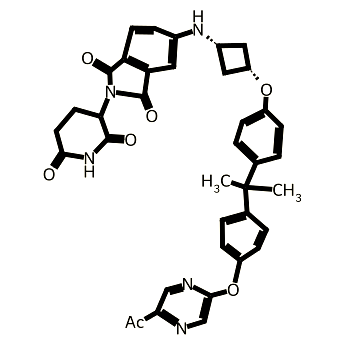 CC(=O)c1cnc(Oc2ccc(C(C)(C)c3ccc(O[C@H]4C[C@@H](Nc5ccc6c(c5)C(=O)N(C5CCC(=O)NC5=O)C6=O)C4)cc3)cc2)cn1